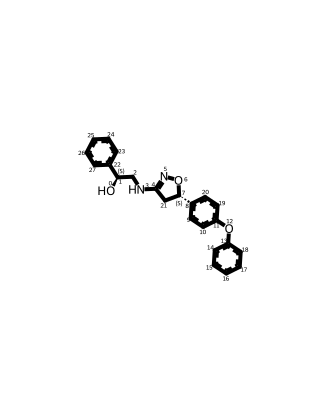 O[C@H](CNC1=NO[C@H](c2ccc(Oc3ccccc3)cc2)C1)c1ccccc1